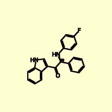 O=C(c1c[nH]c2ccccc12)[C@@H](Nc1ccc(F)cc1)c1ccccc1